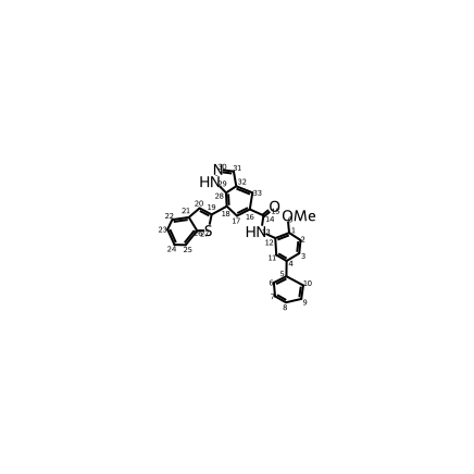 COc1ccc(-c2ccccc2)cc1NC(=O)c1cc(-c2cc3ccccc3s2)c2[nH]ncc2c1